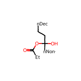 CCCCCCCC[CH]C(O)(CCCCCCCCCCCC)OC(=O)CC